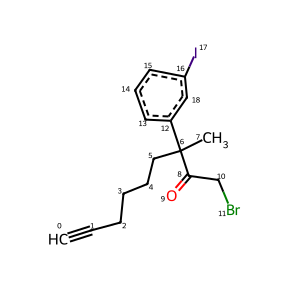 C#CCCCCC(C)(C(=O)CBr)c1cccc(I)c1